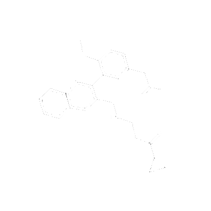 COc1ccc(CC(=O)O)cc1-c1nc2ccccc2cc1CNCCC(=O)C1CC1